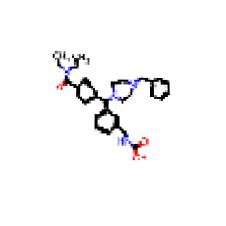 CCN(CC)C(=O)c1ccc(C(c2cccc(CNC(=O)O)c2)N2CCN(Cc3ccccc3)CC2)cc1